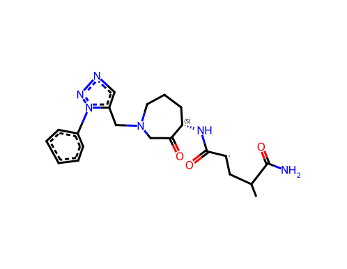 CC(C[CH]C(=O)N[C@H]1CCCN(Cc2cnnn2-c2ccccc2)CC1=O)C(N)=O